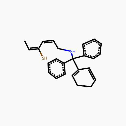 C/C=C(S)\C=C/CNC(C1=CCCC=C1)(c1ccccc1)c1ccccc1